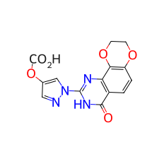 O=C(O)Oc1cnn(-c2nc3c4c(ccc3c(=O)[nH]2)OCCO4)c1